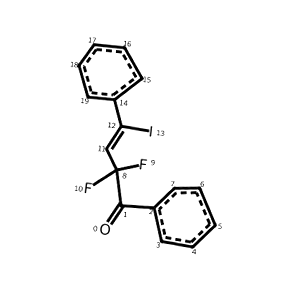 O=C(c1ccccc1)C(F)(F)C=C(I)c1ccccc1